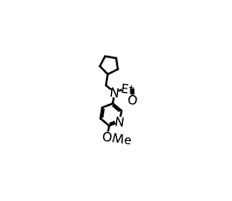 C=O.CCN(CC1CCCC1)c1ccc(OC)nc1